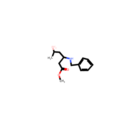 BC(C)CC(CC(=O)OC)NCc1ccccc1